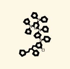 Clc1cc(CC(CCc2ccccc2)c2ccccc2)cc(N(c2ccccc2)c2cccc(N(c3ccccc3)c3cc(N(c4ccccc4)c4ccccc4)cc(N(c4ccccc4)c4ccccc4)n3)c2)c1